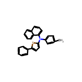 Bc1ccc(N(c2ccc(-c3ccccc3)s2)c2cccc3ccccc23)cc1